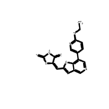 O=C1NC(=S)SC1=Cc1cc2cncc(-c3ccc(OCC(F)(F)F)nc3)c2o1